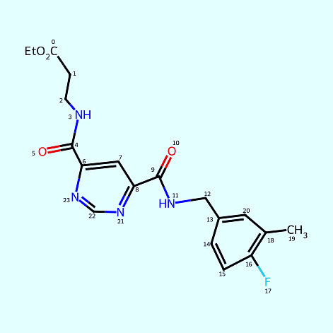 CCOC(=O)CCNC(=O)c1cc(C(=O)NCc2ccc(F)c(C)c2)ncn1